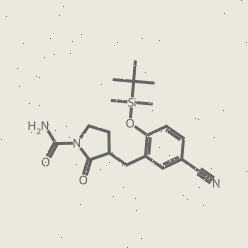 CC(C)(C)[Si](C)(C)Oc1ccc(C#N)cc1C[C]1CCN(C(N)=O)C1=O